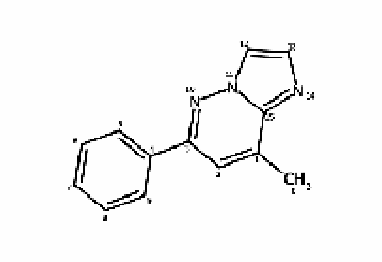 Cc1cc(-c2ccccc2)nn2ccnc12